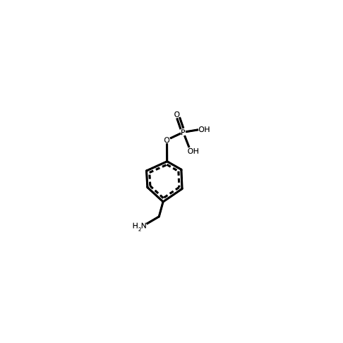 NCc1ccc(OP(=O)(O)O)cc1